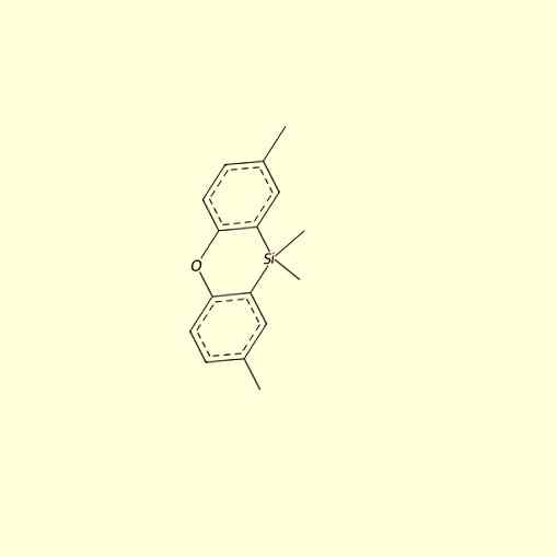 Cc1ccc2c(c1)[Si](C)(C)c1cc(C)ccc1O2